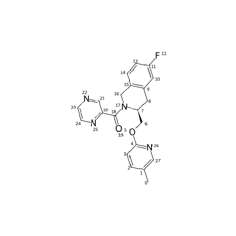 Cc1ccc(OC[C@@H]2Cc3cc(F)ccc3CN2C(=O)c2cnccn2)nc1